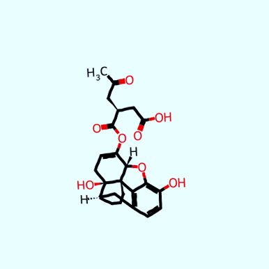 CC(=O)C[C@@H](CC(=O)O)C(=O)OC1=CC[C@@]2(O)[C@@H]3CCC[C@@]24c2c(ccc(O)c2O[C@@H]14)C3